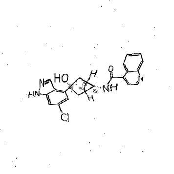 O=C(N[C@@H]1[C@@H]2C[C@@](O)(c3cc(Cl)cc4[nH]ncc34)C[C@@H]21)c1ccnc2ccccc12